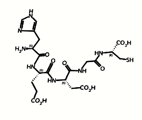 N[C@@H](Cc1c[nH]cn1)C(=O)N[C@@H](CCC(=O)O)C(=O)N[C@@H](CC(=O)O)C(=O)NCC(=O)N[C@@H](CS)C(=O)O